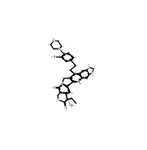 CC[C@@]1(O)C(=O)OCc2c1cc1n(c2=O)Cc2c-1nc1cc3c(cc1c2CCc1ccc(N2CCOCC2)c(F)c1)OCO3